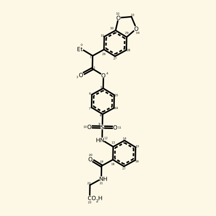 CCC(C(=O)Oc1ccc(S(=O)(=O)Nc2ccccc2C(=O)NCC(=O)O)cc1)c1ccc2c(c1)OCO2